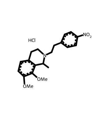 COc1ccc2c(c1OC)C(C)N(CCc1ccc([N+](=O)[O-])cc1)CC2.Cl